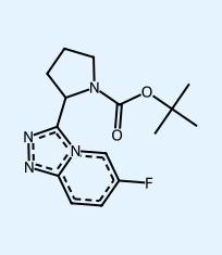 CC(C)(C)OC(=O)N1CCCC1c1nnc2ccc(F)cn12